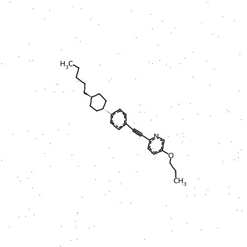 CCCCC[C@H]1CC[C@H](c2ccc(C#Cc3ccc(OCCC)cn3)cc2)CC1